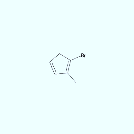 CC1=C(Br)CC=C1